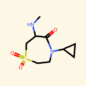 CNC1CS(=O)(=O)CCN(C2CC2)C1=O